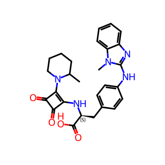 CC1CCCCN1c1c(N[C@@H](Cc2ccc(Nc3nc4ccccc4n3C)cc2)C(=O)O)c(=O)c1=O